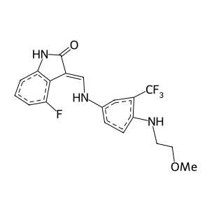 COCCNc1ccc(N/C=C2/C(=O)Nc3cccc(F)c32)cc1C(F)(F)F